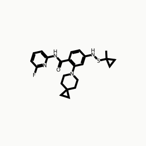 CC1(SNc2ccc(C(=O)Nc3cccc(F)n3)c(N3CCC4(CC3)CC4)c2)CC1